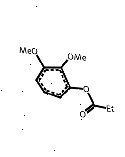 CCC(=O)Oc1cccc(OC)c1OC